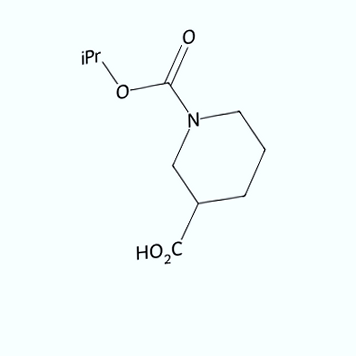 CC(C)OC(=O)N1CCCC(C(=O)O)C1